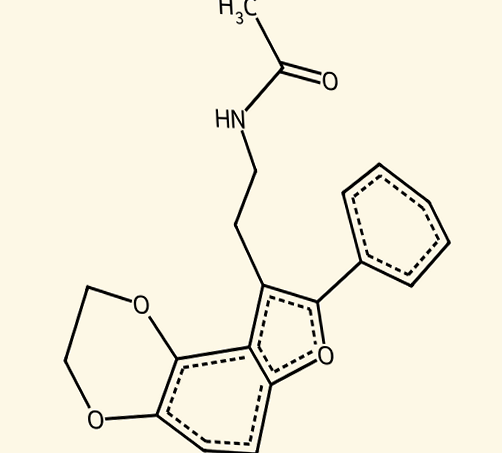 CC(=O)NCCc1c(-c2ccccc2)oc2ccc3c(c12)OCCO3